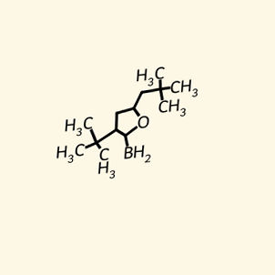 BC1OC(CC(C)(C)C)CC1C(C)(C)C